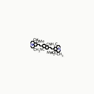 C=C1CCN2CCC(=C)c3c(OC)c(C=Cc4ccc5c(C#N)c(C=Cc6cc7c8c(c6OC)C(C)(C)CCN8CCC7=C)ccc5c4C#N)cc1c32